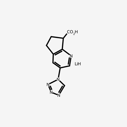 O=C(O)C1CCc2cc(-n3cnnn3)cnc21.[LiH]